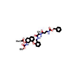 COC(=O)O[C@]1(NC(=O)OC(C)(C)C)CCc2cccc(Oc3ccccc3CNC(=O)[C@H](C)NC(=O)CCNC(=O)OCc3ccccc3)c2C1